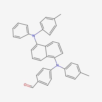 Cc1ccc(N(c2ccccc2)c2cccc3c(N(c4ccc(C)cc4)c4ccc(C=O)cc4)cccc23)cc1